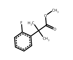 COC(=O)C(C)(C)c1ccccc1F